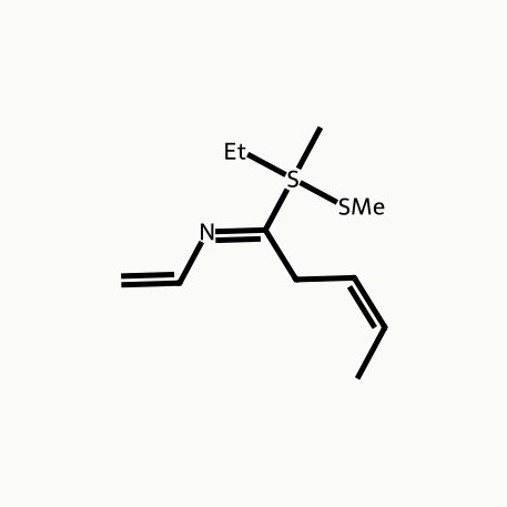 C=C/N=C(\C/C=C\C)S(C)(CC)SC